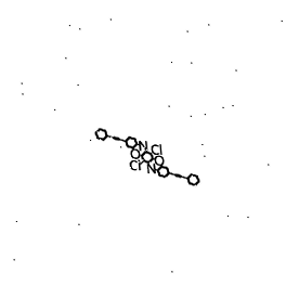 Clc1c2c(c(Cl)c3c1=Nc1ccc(C#Cc4ccccc4)cc1O3)=Nc1ccc(C#Cc3ccccc3)cc1O2